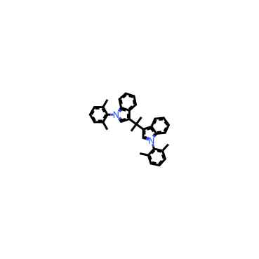 Cc1cccc(C)c1-n1cc(C(C)(C)c2cn(-c3c(C)cccc3C)c3ccccc23)c2ccccc21